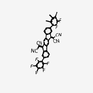 Cc1c(C)c(F)c(F)c(-c2ccc3c(c2)C(=C(C#N)C#N)c2cc4c(cc2-3)C(=C(C#N)C#N)c2cc(-c3c(F)c(F)c(F)c(F)c3F)ccc2-4)c1C